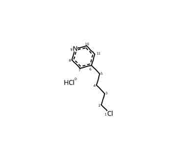 Cl.ClCCCCc1ccncc1